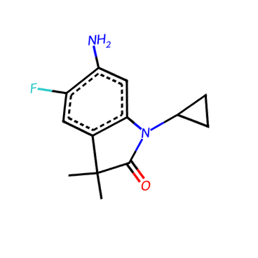 CC1(C)C(=O)N(C2CC2)c2cc(N)c(F)cc21